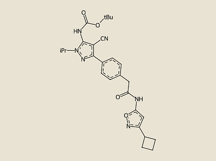 CC(C)n1nc(-c2ccc(CC(=O)Nc3cc(C4CCC4)no3)cc2)c(C#N)c1NC(=O)OC(C)(C)C